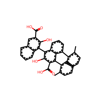 Cc1ccccc1-c1cccc2c(-c3c(O)c(C(=O)O)cc4ccccc34)c(O)c(C(=O)O)c(-c3ccccc3C)c12